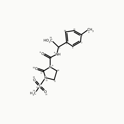 Cc1ccc(C(NC(=O)N2CCN(S(C)(=O)=O)C2=O)C(=O)O)cc1